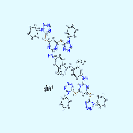 O=S(=O)(O)c1cc(Nc2nc(Sc3nnnn3-c3ccccc3)cc(Sc3nnnn3-c3ccccc3)n2)ccc1C=Cc1ccc(Nc2nc(Sc3nnnn3-c3ccccc3)cc(Sc3nnnn3-c3ccccc3)n2)cc1S(=O)(=O)O.[NaH].[NaH]